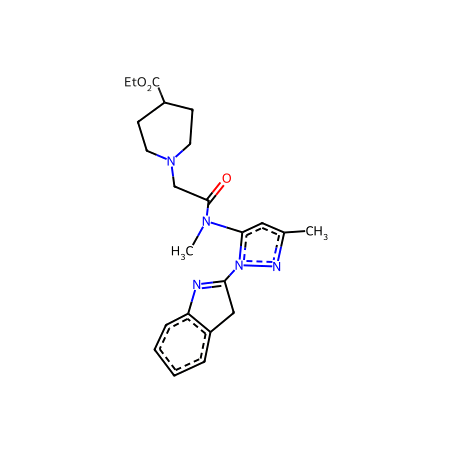 CCOC(=O)C1CCN(CC(=O)N(C)c2cc(C)nn2C2=Nc3ccccc3C2)CC1